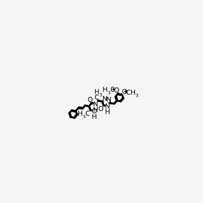 COc1ccc(Cc2nnc(C(C)NC(=O)C(C/C=C/c3ccccc3)C(C)O)c(=O)[nH]2)cc1OC